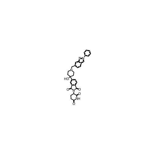 O=C1CCC(N2C(=O)c3ccc(C4(O)CCN(Cc5ccc6cn(-c7ccccc7)nc6c5)CC4)cc3C2=O)C(=O)N1